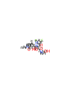 CCCN(CCO)C[C@H](O)[C@@H](O)[C@H](Cc1cc(F)cc(F)c1)NC(=O)c1cc(C)cc(C(=O)N(CCC)CCC)c1